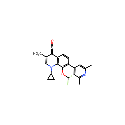 Cc1cc(-c2ccc3c(c2OC(F)F)N(C2CC2)C=C(C(=O)O)C3=C=O)cc(C)n1